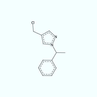 CC(c1ccccc1)n1cc(CCl)cn1